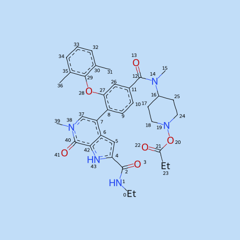 CCNC(=O)c1cc2c(-c3ccc(C(=O)N(C)C4CCN(OC(=O)CC)CC4)cc3Oc3c(C)cccc3C)cn(C)c(=O)c2[nH]1